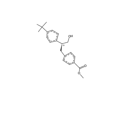 COC(=O)c1ccc(C[C@H](CO)c2ccc(C(C)(C)C)cc2)cc1